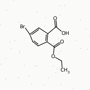 CCOC(=O)c1ccc(Br)cc1C(=O)O